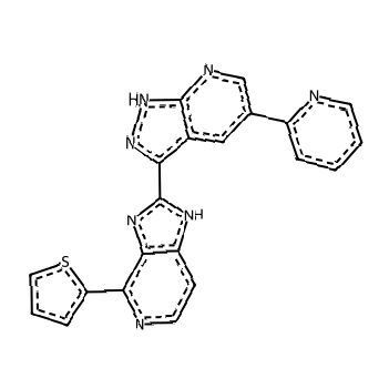 c1ccc(-c2cnc3[nH]nc(-c4nc5c(-c6cccs6)nccc5[nH]4)c3c2)nc1